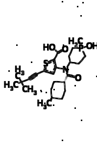 C=P1(O)CCC(N(c2cc(C#CC(C)(C)C)sc2C(=O)O)C(=O)[C@H]2CC[C@H](C)CC2)CC1